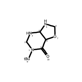 CC(C)(C)N1CNC2NCOC2C1=O